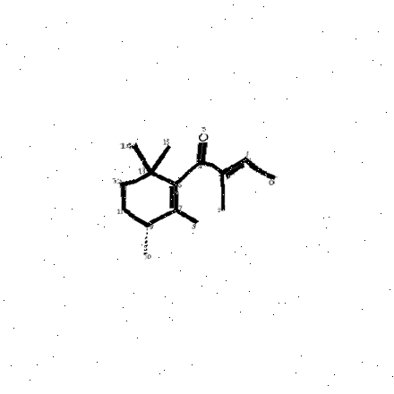 C/C=C(\C)C(=O)C1=C(C)[C@H](C)CCC1(C)C